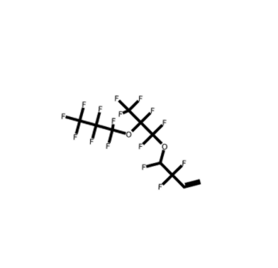 C=CC(F)(F)C(F)OC(F)(F)C(F)(OC(F)(F)C(F)(F)C(F)(F)F)C(F)(F)F